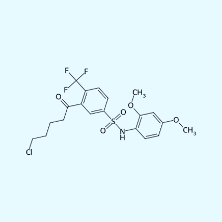 COc1ccc(NS(=O)(=O)c2ccc(C(F)(F)F)c(C(=O)CCCCCl)c2)c(OC)c1